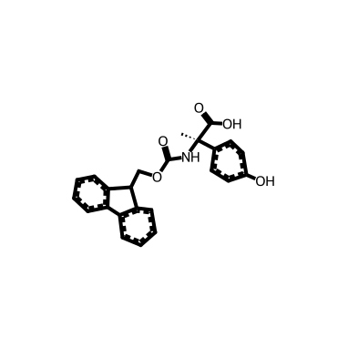 C[C@](NC(=O)OCC1c2ccccc2-c2ccccc21)(C(=O)O)c1ccc(O)cc1